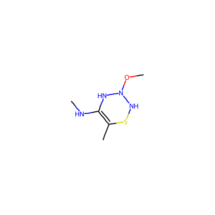 CNc1[nH]n(OC)[nH]sc1C